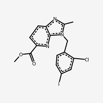 COC(=O)c1ccc2nc(C)n(Cc3ccc(I)cc3Cl)c2n1